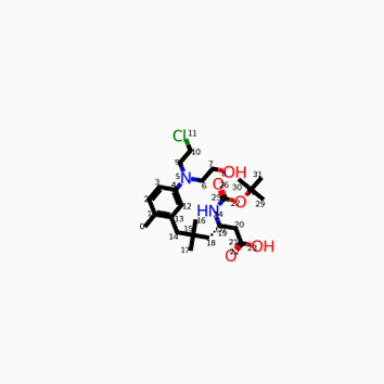 Cc1ccc(N(CCO)CCCl)cc1CC(C)(C)C[C@@H](CC(=O)O)NC(=O)OC(C)(C)C